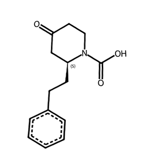 O=C1CCN(C(=O)O)[C@@H](CCc2ccccc2)C1